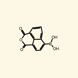 O=C1OC(=O)c2ccc(B(O)O)c3cccc1c23